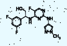 Cn1cc(Nc2ncc(F)c(NC(CO)c3cc(F)cc(F)c3)n2)cn1